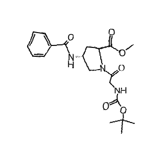 COC(=O)C1C[C@@H](NC(=O)c2ccccc2)CN1C(=O)CNC(=O)OC(C)(C)C